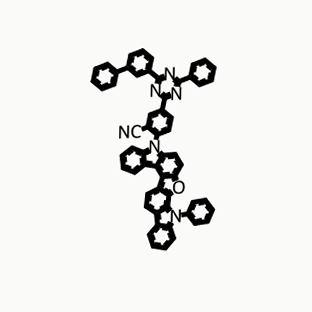 N#Cc1cc(-c2nc(-c3ccccc3)nc(-c3cccc(-c4ccccc4)c3)n2)ccc1-n1c2ccccc2c2c3c(ccc21)oc1c3ccc2c3ccccc3n(-c3ccccc3)c21